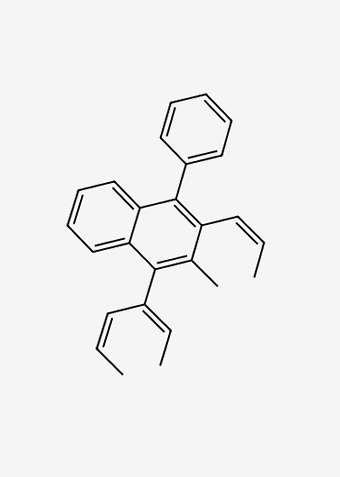 C/C=C\C(=C/C)c1c(C)c(/C=C\C)c(-c2ccccc2)c2ccccc12